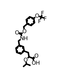 CC(C)OC(Cc1cccc(CNC(=O)OCc2ccc(OC(F)(F)F)cc2)c1)C(=O)O